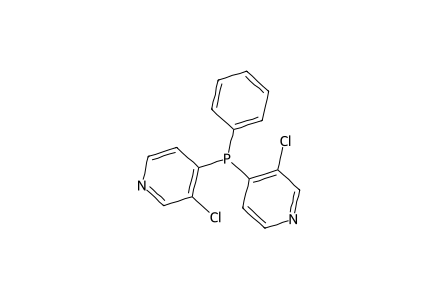 Clc1cnccc1P(c1ccccc1)c1ccncc1Cl